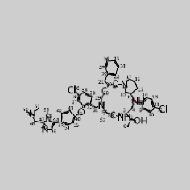 C[C@H](O)[C@@H]1CN[C@@]2(Cc3ccc(Cl)cc3)CCCN(C[C@H](Cc3ccccc3)CCN(Cc3ccc(Cl)cc3Oc3ccc(-c4cnc(CN(C)C)n4C)cc3)[C@@H](C)CN1)C2